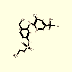 CCCS(=O)(=O)Oc1ccc(CO)c(Oc2ncc(C(F)(F)F)cc2Cl)c1